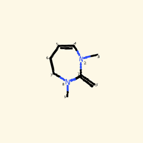 C=C1N(C)C=CCCN1C